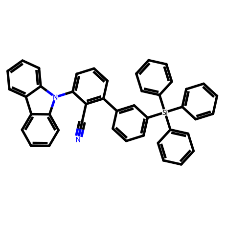 N#Cc1c(-c2cccc([Si](c3ccccc3)(c3ccccc3)c3ccccc3)c2)cccc1-n1c2ccccc2c2ccccc21